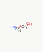 CC#CC(CC(=O)O)c1ccc(O[C@@H](CC2CCCC2)c2ccc3[nH]ncc3c2)cc1